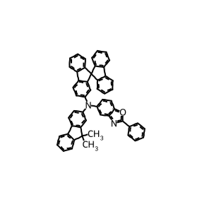 CC1(C)c2ccccc2-c2ccc(N(c3ccc4c(c3)C3(c5ccccc5-c5ccccc53)c3ccccc3-4)c3ccc4oc(-c5ccccc5)nc4c3)cc21